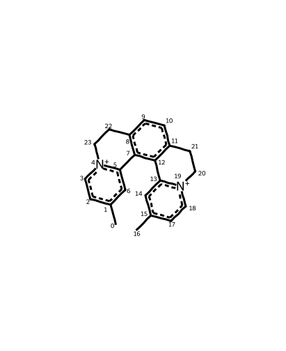 Cc1cc[n+]2c(c1)-c1c(ccc3c1-c1cc(C)cc[n+]1CC3)CC2